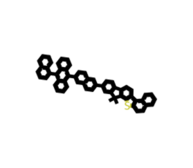 CC1(C)c2cc(-c3ccc4cc(-c5c6ccccc6c(-c6cccc7ccccc67)c6ccccc56)ccc4c3)ccc2-c2ccc3c(sc4ccc5ccccc5c43)c21